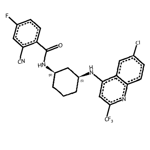 N#Cc1cc(F)ccc1C(=O)N[C@@H]1CCC[C@H](Nc2cc(C(F)(F)F)nc3ccc(Cl)cc23)C1